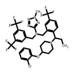 CCC(c1ccc(C(F)(F)F)cc1CN(Cc1cc(C(F)(F)F)cc(C(F)(F)F)c1)c1nnn(C)n1)N1CCC(Oc2ccccc2Cl)CC1